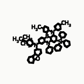 Cc1ccc(N2c3ccc(C)cc3B3c4ccc(N(c5ccc(C(C)(C)C)cc5)c5ccc6oc7ccccc7c6c5)cc4N(c4ccccc4)c4cc([Si](c5ccccc5)(c5ccccc5)c5ccccc5)cc2c43)cc1